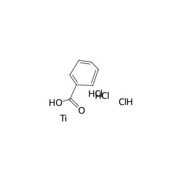 Cl.Cl.Cl.O=C(O)c1ccccc1.[Ti]